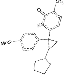 CSc1ccc(C2(c3ccc(C)c(=O)[nH]3)CC2C2CCCC2)cc1